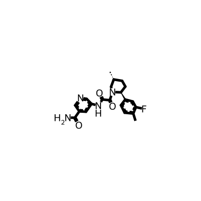 Cc1ccc([C@@H]2CC[C@@H](C)CN2C(=O)C(=O)Nc2cncc(C(N)=O)c2)cc1F